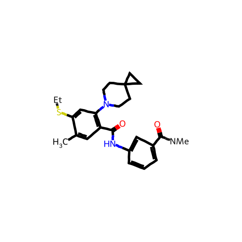 CCSc1cc(N2CCC3(CC2)CC3)c(C(=O)Nc2cccc(C(=O)NC)c2)cc1C